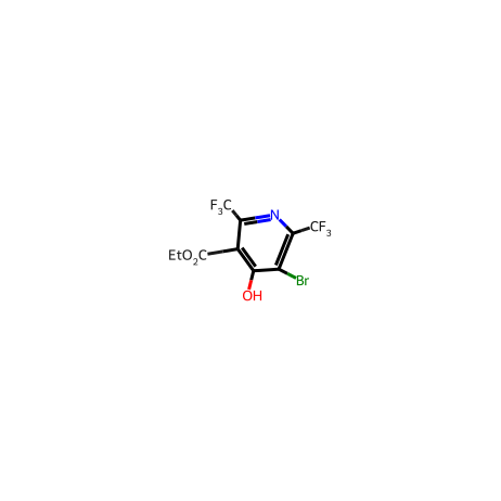 CCOC(=O)c1c(C(F)(F)F)nc(C(F)(F)F)c(Br)c1O